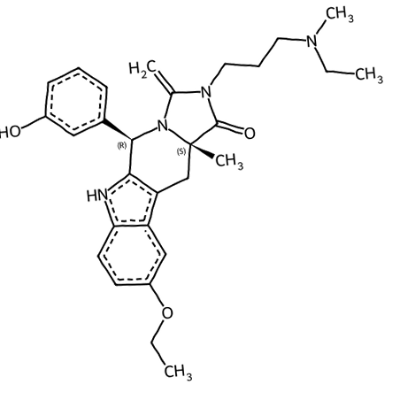 C=C1N(CCCN(C)CC)C(=O)[C@]2(C)Cc3c([nH]c4ccc(OCC)cc34)[C@@H](c3cccc(O)c3)N12